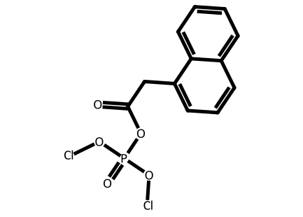 O=C(Cc1cccc2ccccc12)OP(=O)(OCl)OCl